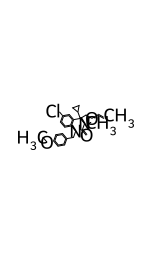 CC=COCC1(C2CC2)c2cc(Cl)ccc2N(Cc2ccc(OC)cc2)C(=O)N1C